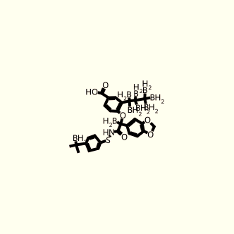 BC(C)(C)c1ccc(SNC(=O)C(B)(Oc2ccc(C(=O)O)cc2C(B)(B)C(B)(B)C(B)(B)B)c2ccc3c(c2)OCO3)cc1